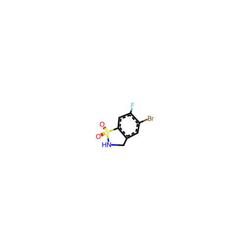 O=S1(=O)NCc2cc(Br)c(F)cc21